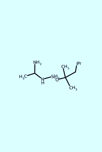 CC(C)CC(C)(C)O[SiH2]NC(C)N